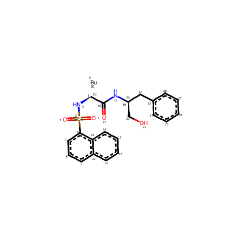 CC[C@H](C)[C@H](NS(=O)(=O)c1cccc2ccccc12)C(=O)N[C@H](CO)Cc1ccccc1